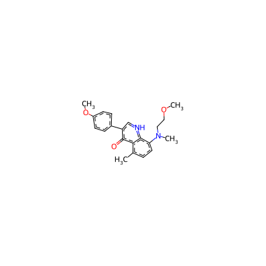 COCCN(C)c1ccc(C)c2c(=O)c(-c3ccc(OC)cc3)c[nH]c12